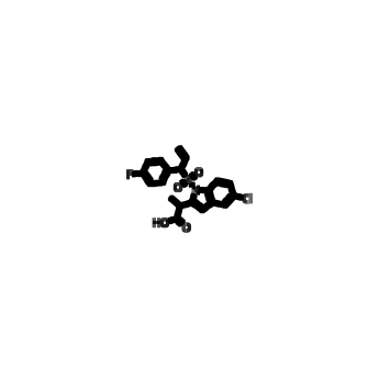 C=CC(c1ccc(F)cc1)S(=O)(=O)n1c(C(C)C(=O)O)cc2cc(Cl)ccc21